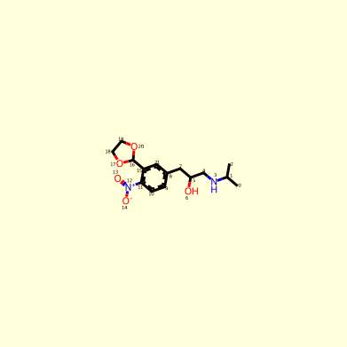 CC(C)NCC(O)Cc1ccc([N+](=O)[O-])c(C2OCCO2)c1